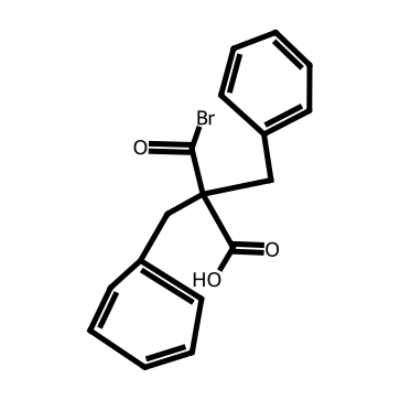 O=C(O)C(Cc1ccccc1)(Cc1ccccc1)C(=O)Br